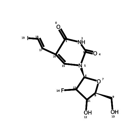 O=c1[nH]c(=O)n([C@H]2O[C@@H](CO)C(O)C2F)cc1/C=C/I